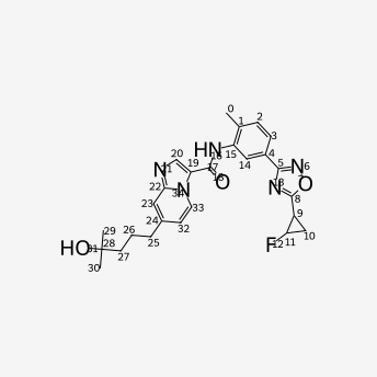 Cc1ccc(-c2noc(C3CC3F)n2)cc1NC(=O)c1cnc2cc(CCCC(C)(C)O)ccn12